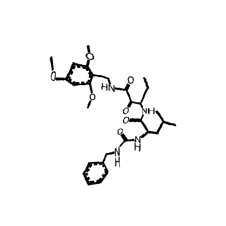 CCC(NC(=O)C(CC(C)C)NC(=O)NCc1ccccc1)C(=O)C(=O)NCc1c(OC)cc(OC)cc1OC